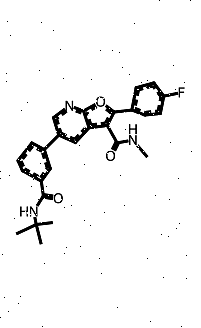 CNC(=O)c1c(-c2ccc(F)cc2)oc2ncc(-c3cccc(C(=O)NC(C)(C)C)c3)cc12